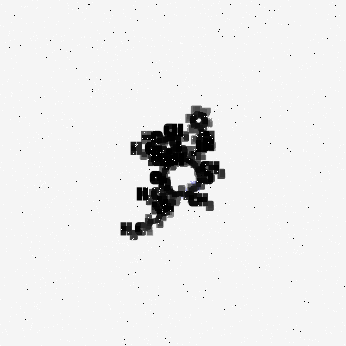 CCCCc1cn(C[C@H]2/C=C(C)/C=C/C(=O)[C@H](C)C[C@H](CCn3cc(-c4ccccc4)nn3)[C@H](O[C@@H]3O[C@H](C)[C@@H](O)C(N(C)C)C3O)[C@@H](C)[C@H](O)CC(=O)O[C@@H]2CC)nn1